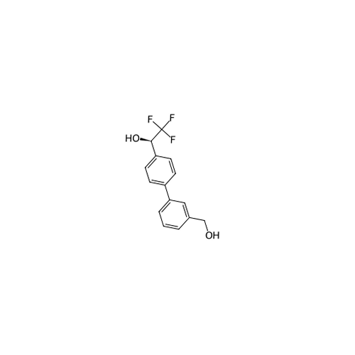 OCc1cccc(-c2ccc([C@@H](O)C(F)(F)F)cc2)c1